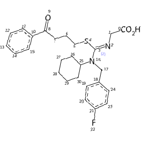 O=C(O)C/N=C(\SCCCC(=O)c1ccccc1)N(Cc1ccc(F)cc1)C1CCCCC1